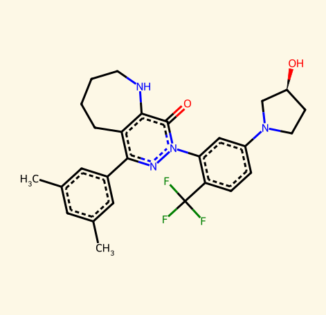 Cc1cc(C)cc(-c2nn(-c3cc(N4CC[C@H](O)C4)ccc3C(F)(F)F)c(=O)c3c2CCCCN3)c1